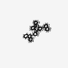 c1cc(-c2cc3ccccc3c3ccccc23)cc(N(c2ccc(-c3cccc4ccccc34)cc2)c2cccc3c2oc2ccccc23)c1